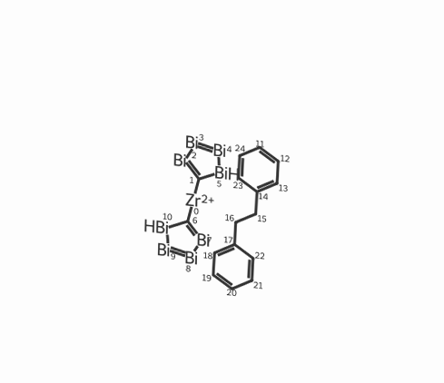 [Zr+2]([C]1=[Bi][Bi]=[Bi][BiH]1)[C]1=[Bi][Bi]=[Bi][BiH]1.c1ccc(CCc2ccccc2)cc1